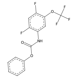 O=C(Nc1cc(OC(F)(F)F)c(F)cc1F)Oc1ccccc1